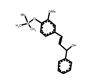 COc1cc(/C=C/C(O)c2ccccc2)ccc1O[Si](C)(C)C(C)(C)C